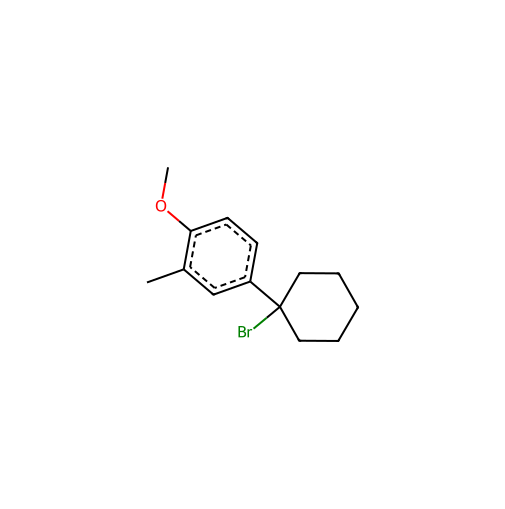 COc1ccc(C2(Br)CCCCC2)cc1C